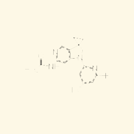 CC(=O)Nc1cc2c(cn1)C1(CC1)CN2c1cc(C)cc(F)n1